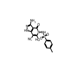 Cc1ccc(S(=O)(=O)Nn2c(O)c(C#N)c3[nH]nc(N)c3c2=O)cc1